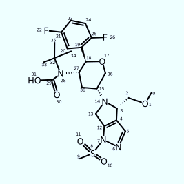 COC[C@@H]1c2cnn(S(C)(=O)=O)c2CN1[C@H]1CO[C@H](c2cc(F)ccc2F)[C@@H](N(C(=O)O)C(C)(C)C)C1